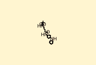 CC(C)(C)S(=O)(=O)NCCCCC(=O)Nc1ccc(Nc2ccccc2)cc1